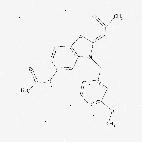 COc1cccc(CN2/C(=C/C(C)=O)Sc3ccc(OC(C)=O)cc32)c1